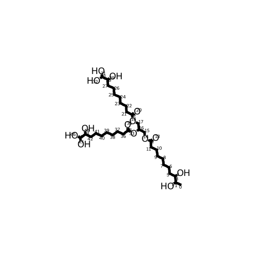 CC(O)C(O)CCCCCCCC(=O)OCC(COC(=O)CCCCCCCC(O)C(O)O)OC(=O)CCCCCCCC(O)C(O)O